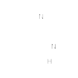 [H].c1cncnc1